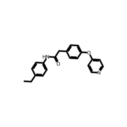 CCc1ccc(NC(=O)Cc2ccc(Oc3ccncc3)cc2)cc1